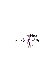 CCCCCC[P+](CCC)(CCC)CCCCCC.[I-]